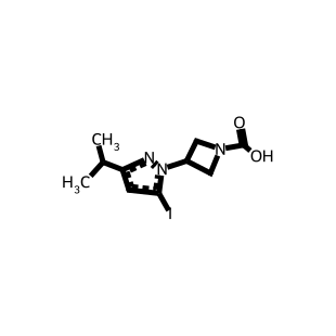 CC(C)c1cc(I)n(C2CN(C(=O)O)C2)n1